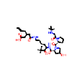 C/C=C/CC(CC(=O)O)CC(=O)NCCCCC(NC(=O)[C@H]1CC(O)CN1C(=O)[C@H]1CCCN1C(=O)CNC(C)(C)C)C(=O)C(C)(C)C